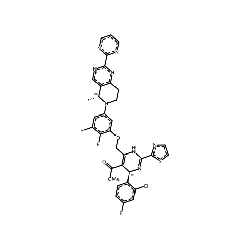 COC(=O)C1=C(COc2cc(N3CCc4nc(-c5ncccn5)ncc4[C@H]3C)cc(F)c2F)NC(c2nccs2)=N[C@H]1c1ccc(F)cc1Cl